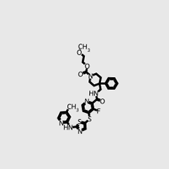 COCCOC(=O)N1CCC(CNC(=O)c2nccc(Sc3cnc(Nc4cc(C)ccn4)s3)c2F)(c2ccccc2)CC1